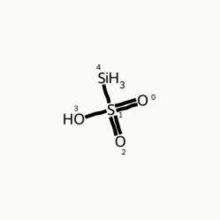 O=S(=O)(O)[SiH3]